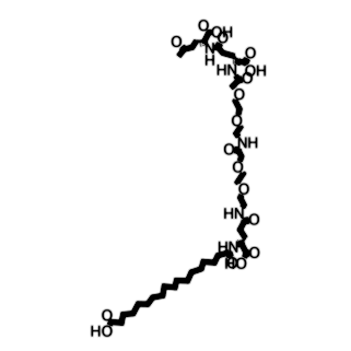 CC(=O)CC[C@H](NC(=O)CC[C@H](NC(=O)COCCOCCNC(=O)COCCOCCNC(=O)CC[C@H](NC(=O)CCCCCCCCCCCCCCCCC(=O)O)C(=O)O)C(=O)O)C(=O)O